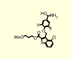 COCCCOC(=O)c1sc2cccc(Cl)c2c1COc1c(F)cc(C(N)O)cc1F